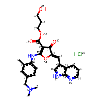 Cc1cc(CN(C)C)ccc1NC1=C(C(=O)OCCCO)C(=O)/C(=C/c2c[nH]c3ncccc23)O1.Cl